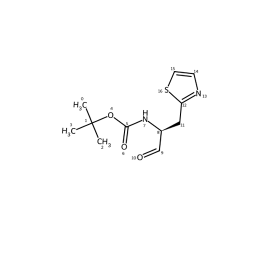 CC(C)(C)OC(=O)N[C@H](C=O)Cc1nccs1